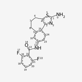 Nc1nc2c(s1)CCCc1cc(NC(=O)c3c(F)cccc3F)ccc1-2